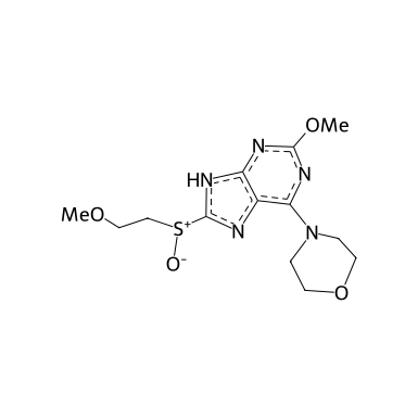 COCC[S+]([O-])c1nc2c(N3CCOCC3)nc(OC)nc2[nH]1